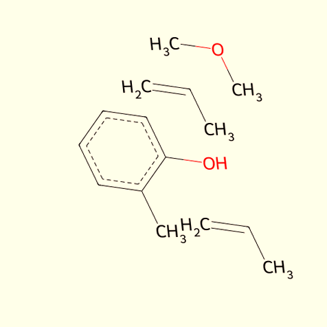 C=CC.C=CC.COC.Cc1ccccc1O